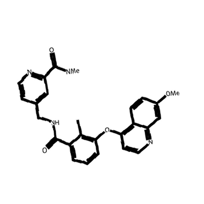 CNC(=O)c1cc(CNC(=O)c2cccc(Oc3ccnc4cc(OC)ccc34)c2C)ccn1